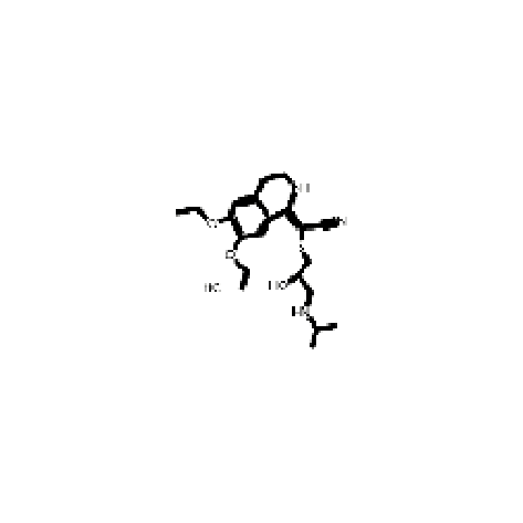 CCOc1cc2c(cc1OCC)C(=C(C#N)SCC(O)CNC(C)C)NCC2.Cl